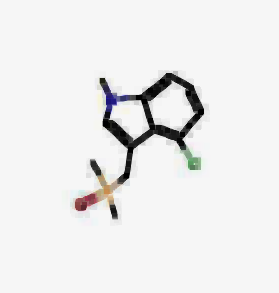 Cn1cc(CP(C)(C)=O)c2c(Cl)cccc21